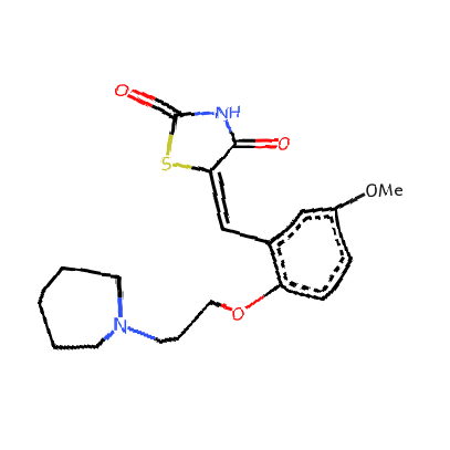 COc1ccc(OCCN2CCCCC2)c(C=C2SC(=O)NC2=O)c1